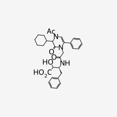 CC(=O)N1C=C(c2ccccc2)N(CC(=O)N[C@@H](Cc2ccccc2)C(O)C(=O)O)C(=O)C1C1CCCCC1